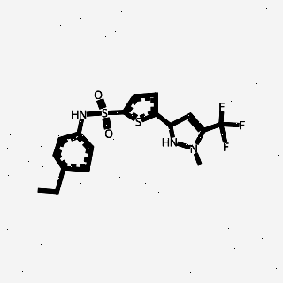 CCc1ccc(NS(=O)(=O)c2ccc(C3C=C(C(F)(F)F)N(C)N3)s2)cc1